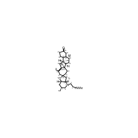 CNCCN1C[C@@H](C)C[C@H]2OC3(CC[C@@H]4C(=C(C)C3)C[C@H]3[C@H]4CC[C@@H]4CC(=O)CC[C@@]43C)[C@H](C)[C@@H]21